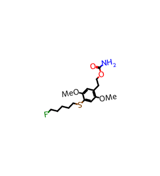 COc1cc(SCCCCCF)c(OC)cc1CCOC(N)=O